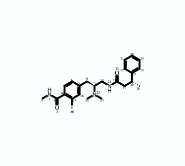 CNC(=O)c1ccc(C[C@@H](CNC(=O)C[C@@H](C)c2ccccc2)N(C)C)cc1F